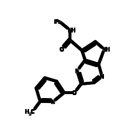 Cc1cccc(Oc2cnc3[nH]cc(C(=O)NC(C)C)c3n2)n1